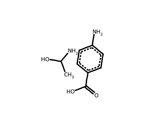 CC(N)O.Nc1ccc(C(=O)O)cc1